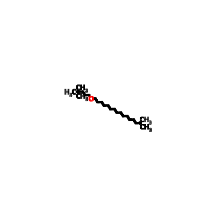 CC(C)CCCCCCCCCCCCCCOCCCC(C)(C)C